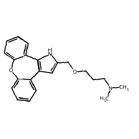 CN(C)CCCOCc1cc2c([nH]1)-c1ccccc1Oc1ccccc1-2